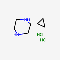 C1CC1.C1CNCCN1.Cl.Cl